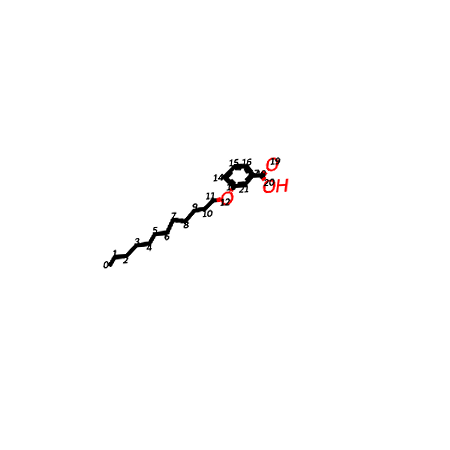 CCCCCCCCCCCCOc1cccc(C(=O)O)c1